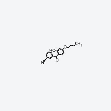 CCCCOc1ccc(C(=O)c2cccc(C#N)c2)c(O)c1